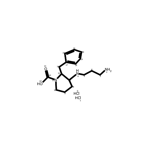 Cl.Cl.NCCCNC1CCCN(C(=O)O)C1Cc1ccccc1